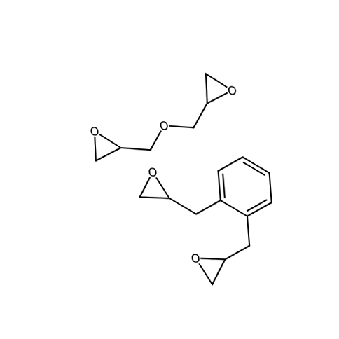 C(OCC1CO1)C1CO1.c1ccc(CC2CO2)c(CC2CO2)c1